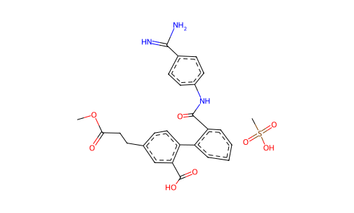 COC(=O)CCc1ccc(-c2ccccc2C(=O)Nc2ccc(C(=N)N)cc2)c(C(=O)O)c1.CS(=O)(=O)O